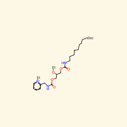 CCCCCCCCCCCCCCCCCCNC(=O)OCC(COC(=O)NCc1cccc[n+]1CC)OCC